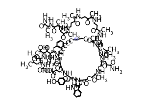 CC(=O)N[C@@H](CC(C)C)C(=O)N[C@H](C(=O)C(=O)[C@H](Cc1ccccc1)NN[C@]1(C)CCCCCC/C=C/CCC[C@@](C)(C(=O)CN[C@@H](C)C(=O)CCN[C@@H](C)C(=O)CCN[C@@H](C)C(=O)CCN[C@@H](C)C(=O)CN[C@H](C)C(=O)N[C@H](C)C(N)=O)NC(=O)[C@H](CC(C)C)NN[C@@H](CCC(N)=O)C(=O)CN[C@@H](C)C(=O)CC(=O)[C@H](Cc2c[nH]c3ccccc23)NN[C@@H](Cc2ccc(O)cc2)C(=O)N[C@@H](CCC(=O)O)C(=O)C1=O)[C@@H](C)O